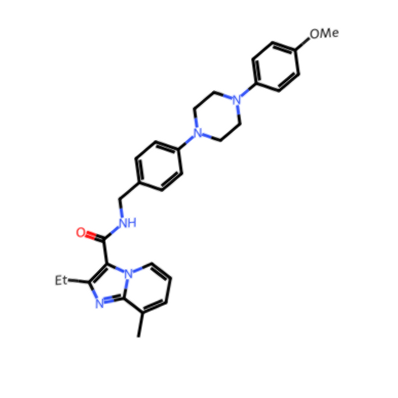 CCc1nc2c(C)cccn2c1C(=O)NCc1ccc(N2CCN(c3ccc(OC)cc3)CC2)cc1